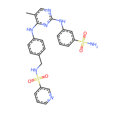 Cc1cnc(Nc2cccc(S(N)(=O)=O)c2)nc1Nc1ccc(CNS(=O)(=O)c2cccnc2)cc1